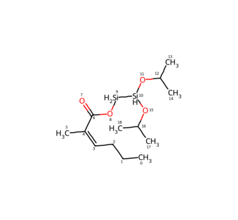 CCCC=C(C)C(=O)O[SiH2][SiH](OC(C)C)OC(C)C